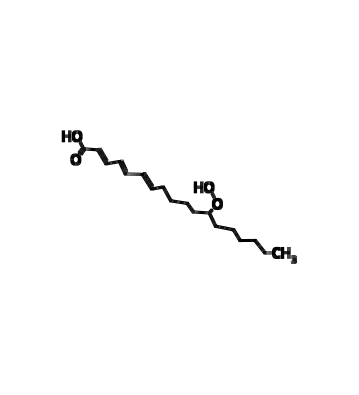 CCCCCCC(CCCCC=CC=CC=CC(=O)O)OO